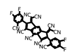 N#CC(C#N)=C1C(c2cc(F)c(F)cc2C#N)=C(C#N)c2c1cc1c(c2C#N)C(C#N)=C(c2cc(F)c(F)cc2C#N)C1=C(C#N)C#N